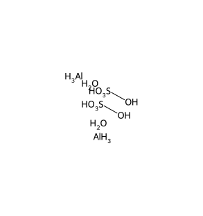 O.O.O=S(=O)(O)O.O=S(=O)(O)O.[AlH3].[AlH3]